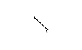 CCCCCCCCCCCCCCCCCCC(C)C[S]